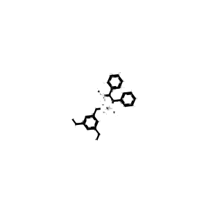 CCc1cc(CC)cc(CS(=O)(=O)N(C)C(c2ccccc2)C(NC)c2ccccc2)c1